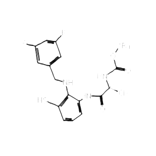 C[C@H](NC(=O)OC(C)(C)C)C(=O)Nc1cccc(S)c1NCc1cc(F)cc(F)c1